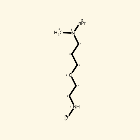 CCCN(C)CCCOCCNC(C)C